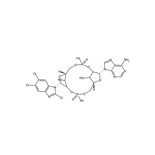 Nc1ncnc2c1ncn2[C@@H]1O[C@@H]2COP(=O)(S)OC3C(O)[C@@H](COP(=O)(S)OC1C2O)O[C@H]3n1c(Cl)nc2cc(Cl)c(Cl)cc21